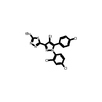 CCc1c(-c2nnc(C(C)(C)C)s2)nn(-c2ccc(Cl)cc2Cl)c1-c1ccc(Cl)cc1